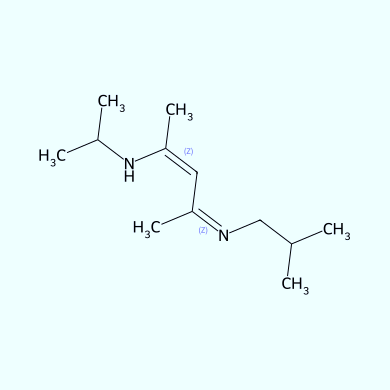 C/C(=C/C(C)=N\CC(C)C)NC(C)C